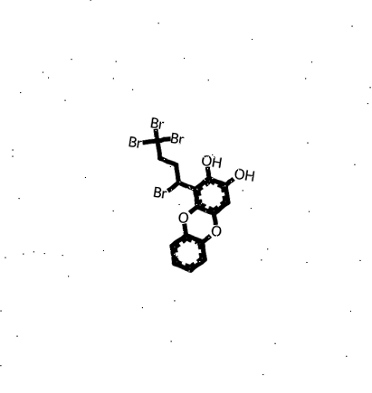 Oc1cc2c(c(C(Br)CCC(Br)(Br)Br)c1O)Oc1ccccc1O2